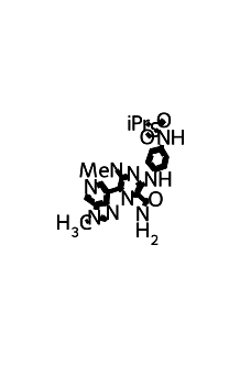 CNc1nc(Nc2ccc(NS(=O)(=O)C(C)C)cc2)c(C(N)=O)nc1-c1cncc2c1ncn2C